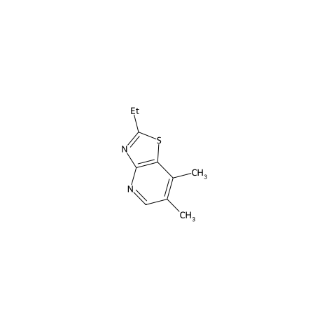 CCc1nc2ncc(C)c(C)c2s1